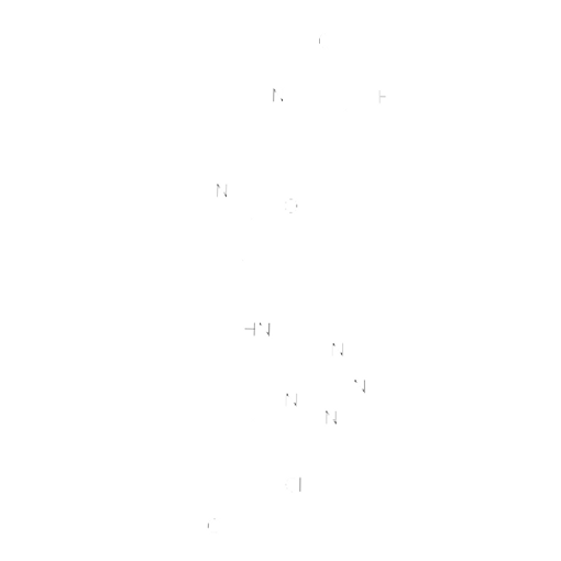 Fc1cc(Oc2ncccc2CNc2nnnn2-c2cccc(Cl)c2Cl)cnc1Cl